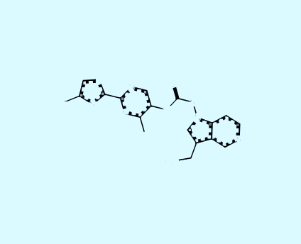 Cc1nc(-c2nc(Cl)cs2)ncc1OC(=O)Nn1cc(CC(F)(F)F)c2cnccc21